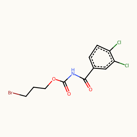 O=C(NC(=O)c1ccc(Cl)c(Cl)c1)OCCCBr